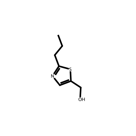 CCCc1ncc(CO)s1